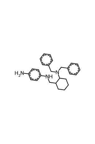 Nc1ccc(NCC2CCCCC2N(Cc2ccccc2)Cc2ccccc2)cc1